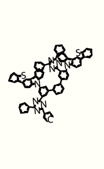 c1ccc(-c2nc(-c3ccccc3)nc(-c3cc(-c4cccc(-c5ccc(-n6c7ccccc7c7c8sc9ccccc9c8ccc76)c(-c6nc(-c7ccccc7)nc(-c7ccccc7)n6)c5)c4)cc(-n4c5ccccc5c5c6sc7ccccc7c6ccc54)c3)n2)cc1